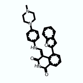 CN1CCN(c2ccc(NC=C3C(=O)NC(=O)c4cccc(-c5cc6ccccc6o5)c43)cc2)CC1